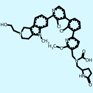 COc1nc(-c2cccc(-c3ccnc(-c4ccc5c6c(n(C)c5c4)CCN(CCO)C6)c3Cl)c2Cl)ccc1CN(CC1CCC(=O)N1)C(=O)O